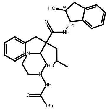 CC(O)CC(Cc1ccccc1)(C(=O)N[C@H]1c2ccccc2C[C@@H]1O)C1CN(NC(=O)C(C)(C)C)CCN1